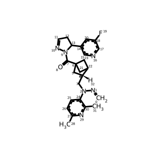 C=NN(C[C@@H]1CC2(C(=O)N3N=CCC3c3cncc(F)c3)CC1C2)c1ccc(C)nc1C